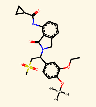 [2H][13C]([2H])([2H])Oc1ccc([C@@H](CS(C)(=O)=O)N2Cc3cccc(NC(=O)C4CC4)c3C2=O)cc1OCC